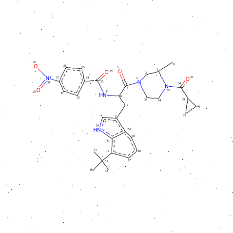 CC1CN(C(=O)C(Cc2c[nH]c3c(C(C)(C)C)cccc23)NC(=O)c2ccc([N+](=O)[O-])cc2)CCN1C(=O)C1CC1